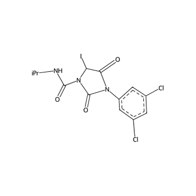 CC(C)NC(=O)N1C(=O)N(c2cc(Cl)cc(Cl)c2)C(=O)C1I